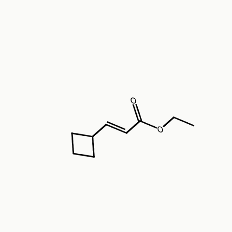 CCOC(=O)C=CC1CCC1